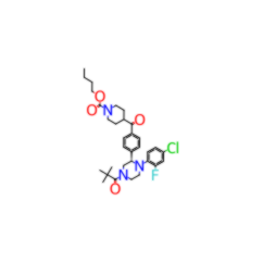 CCCCOC(=O)N1CCC(C(=O)c2ccc([C@@H]3CN(C(=O)C(C)(C)C)CCN3c3ccc(Cl)cc3F)cc2)CC1